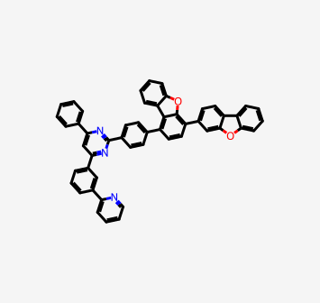 c1ccc(-c2cc(-c3cccc(-c4ccccn4)c3)nc(-c3ccc(-c4ccc(-c5ccc6c(c5)oc5ccccc56)c5oc6ccccc6c45)cc3)n2)cc1